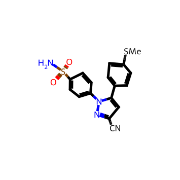 CSc1ccc(-c2cc(C#N)nn2-c2ccc(S(N)(=O)=O)cc2)cc1